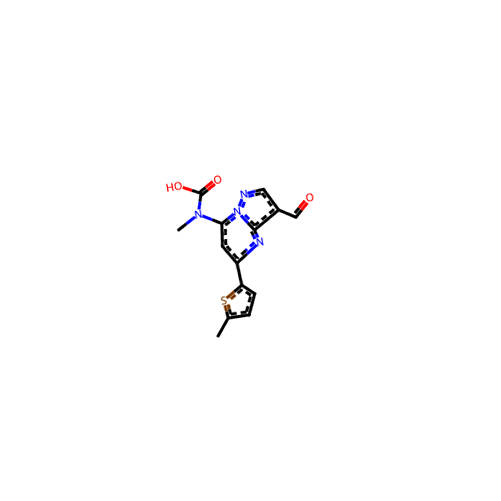 Cc1ccc(-c2cc(N(C)C(=O)O)n3ncc(C=O)c3n2)s1